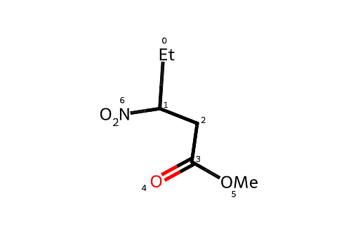 CCC(CC(=O)OC)[N+](=O)[O-]